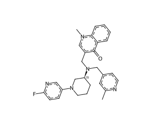 Cc1cc(CN(Cc2cn(C)c3ccccc3c2=O)[C@H]2CCCN(c3ccc(F)nc3)C2)ccn1